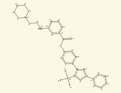 O=C(Cc1ccc(-n2nc(-c3cccnc3)cc2C(F)(F)F)nc1)c1ccnc(NCCN2CCOCC2)c1